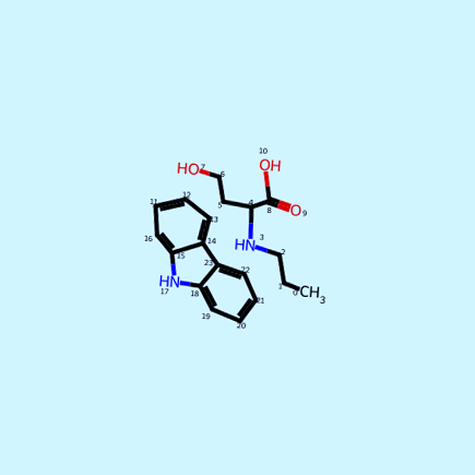 CCCNC(CCO)C(=O)O.c1ccc2c(c1)[nH]c1ccccc12